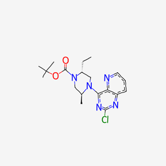 CC[C@@H]1CN(c2nc(Cl)nc3cccnc23)[C@@H](C)CN1C(=O)OC(C)(C)C